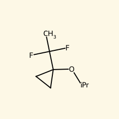 CC(C)OC1(C(C)(F)F)CC1